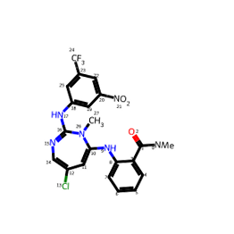 CNC(=O)c1ccccc1NC1=CC(Cl)=CN=C(Nc2cc([N+](=O)[O-])cc(C(F)(F)F)c2)N1C